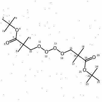 CC(C)(C)OC(=O)C(C)(C)COOOOCC(C)(C)C(=O)OC(C)(C)C